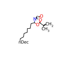 C=C(C)C(=O)OC(CCCCCCCCCCCCCCCCC)N=C=O